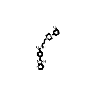 O=C(NCCCN1CCN(c2cccc(Cl)c2)CC1)c1ccc(-c2nc3ncccc3[nH]2)cc1